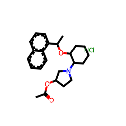 CC(=O)OC1CCN(C2CCCCC2OC(C)c2cccc3ccccc23)C1.Cl